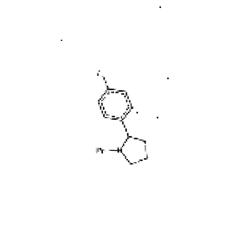 CC(C)N1CCCC1c1ccc(Cl)cc1